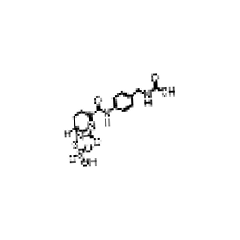 O=C(O)NCc1ccc(NC(=O)[C@@H]2CC[C@@H]3CN2C(=O)N3OS(=O)(=O)O)cc1